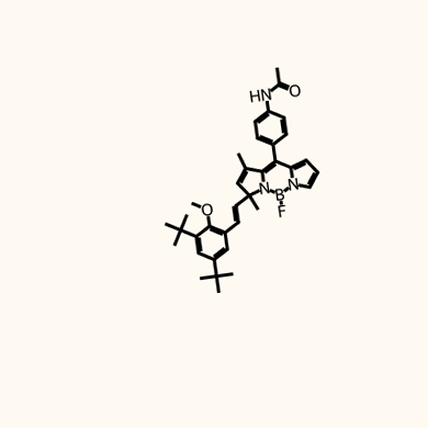 COc1c(/C=C/C2(C)C=C(C)C3=C(c4ccc(NC(C)=O)cc4)c4cccn4B(F)N32)cc(C(C)(C)C)cc1C(C)(C)C